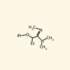 CCC(OC(C)C)/C(=N\C)N(C)C